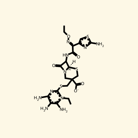 CCON=C(C(=O)NC1C(=O)N2CC(CSc3nc(N)c(N)c(N)[n+]3CC)(C(=O)[O-])CS[C@H]12)c1csc(N)n1